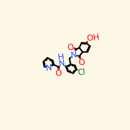 O=C(Nc1ccc(Cl)cc1CN1C(=O)C2C=CC(O)=CC2C1=O)c1ccccn1